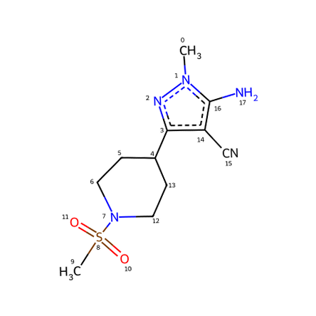 Cn1nc(C2CCN(S(C)(=O)=O)CC2)c(C#N)c1N